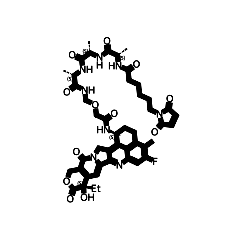 CC[C@@]1(O)C(=O)OCc2c1cc1n(c2=O)Cc2c-1nc1cc(F)c(C)c3c1c2[C@@H](NC(=O)COCNC(=O)[C@H](C)NC(=O)[C@H](C)NC(=O)[C@H](C)NC(=O)CCCCCN1C(=O)C=CC1=O)CC3